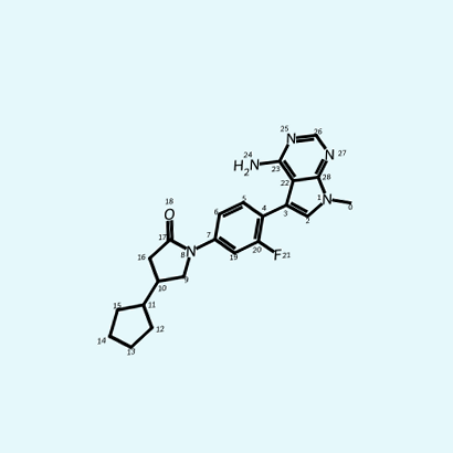 Cn1cc(-c2ccc(N3CC(C4CCCC4)CC3=O)cc2F)c2c(N)ncnc21